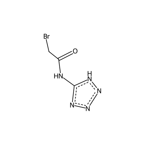 O=C(CBr)Nc1nnn[nH]1